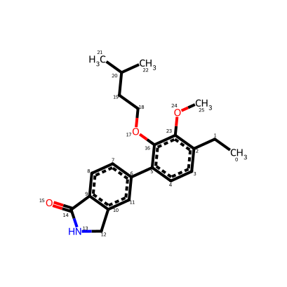 CCc1ccc(-c2ccc3c(c2)CNC3=O)c(OCCC(C)C)c1OC